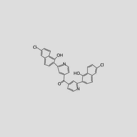 O=C(c1ccnc(-c2ccc3cc(Cl)ccc3c2O)c1)c1ccnc(-c2ccc3cc(Cl)ccc3c2O)c1